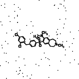 CN1CCc2cc(N(C)C)c(S(=O)(=O)c3ccc(Cc4ccc(Cl)cc4Cl)cc3)cc2CC1